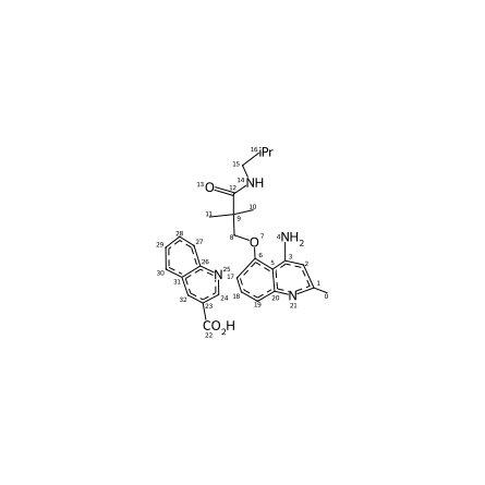 Cc1cc(N)c2c(OCC(C)(C)C(=O)NCC(C)C)cccc2n1.O=C(O)c1cnc2ccccc2c1